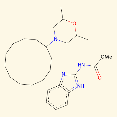 CC1CN(C2CCCCCCCCCCC2)CC(C)O1.COC(=O)Nc1nc2ccccc2[nH]1